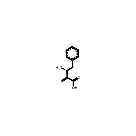 C=C(C(=O)O)[C@@H](N)Cc1ccccc1